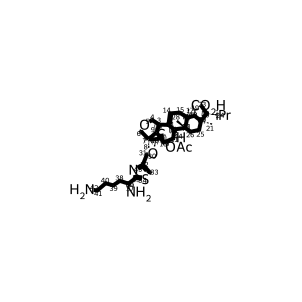 CC(=O)O[C@@H]1C[C@@]23COC[C@@](C)(C2CC[C@H]2C3=CC[C@@]3(C)[C@H](C(=O)O)[C@@](C)([C@H](C)C(C)C)CC[C@]23C)[C@H]1OCc1csc([C@@H](N)CCCCN)n1